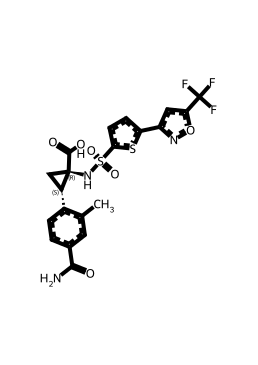 Cc1cc(C(N)=O)ccc1[C@@H]1C[C@]1(NS(=O)(=O)c1ccc(-c2cc(C(F)(F)F)on2)s1)C(=O)O